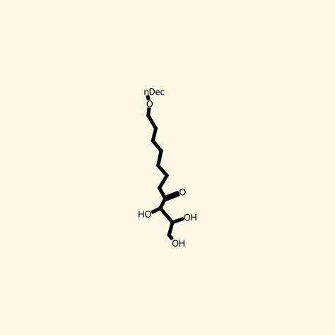 CCCCCCCCCCOCCCCCCCC(=O)C(O)C(O)CO